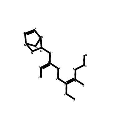 CC=C(CCC(CC)=C(C)CCC)CC1CC2C=CC1C2